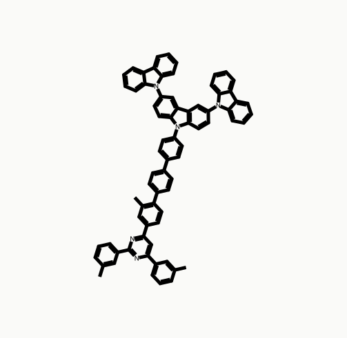 Cc1cccc(-c2cc(-c3ccc(-c4ccc(-c5ccc(-n6c7ccc(-n8c9ccccc9c9ccccc98)cc7c7cc(-n8c9ccccc9c9ccccc98)ccc76)cc5)cc4)c(C)c3)nc(-c3cccc(C)c3)n2)c1